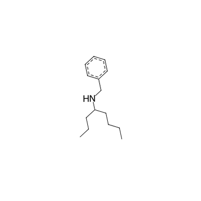 CCCCC(CCC)NCc1ccccc1